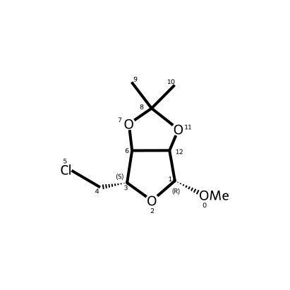 CO[C@@H]1O[C@H](CCl)C2OC(C)(C)OC21